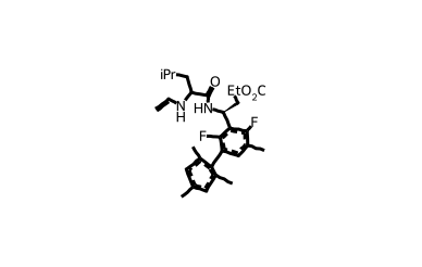 C=CNC(CC(C)C)C(=O)N[C@@H](CC(=O)OCC)c1c(F)c(C)cc(-c2c(C)cc(C)cc2C)c1F